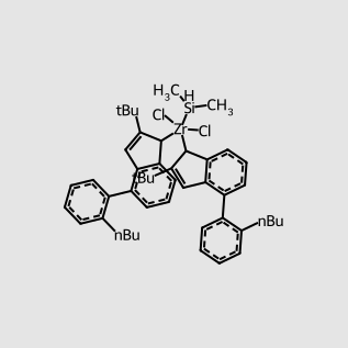 CCCCc1ccccc1-c1cccc2c1C=C(C(C)(C)C)[CH]2[Zr]([Cl])([Cl])([CH]1C(C(C)(C)C)=Cc2c(-c3ccccc3CCCC)cccc21)[SiH](C)C